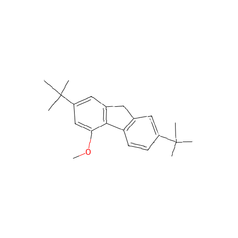 COc1cc(C(C)(C)C)cc2c1-c1ccc(C(C)(C)C)cc1C2